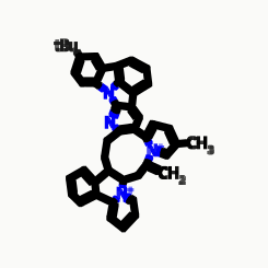 C=C1CC2C(CCc3nc4c(cc3-c3ccc(C)c[n+]31)c1cccc3c5cc(C(C)(C)C)ccc5n4c31)c1ccccc1-c1cccc[n+]12